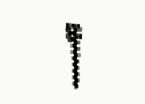 CCCCCCCCCCCCCCCC(=O)NC(CN)C(=O)O